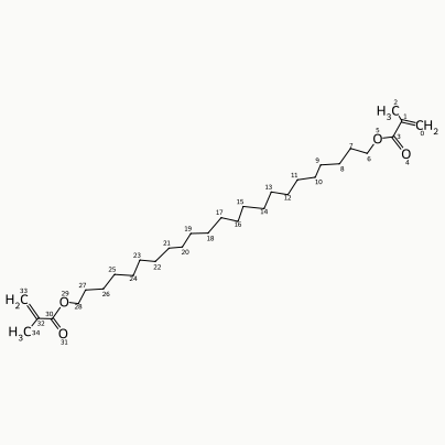 C=C(C)C(=O)OCCCCCCCCCCCCCCCCCCCCCCCOC(=O)C(=C)C